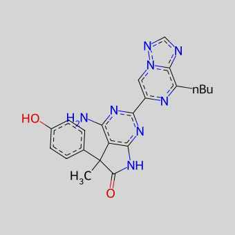 CCCCc1nc(-c2nc(N)c3c(n2)NC(=O)C3(C)c2ccc(O)cc2)cn2ncnc12